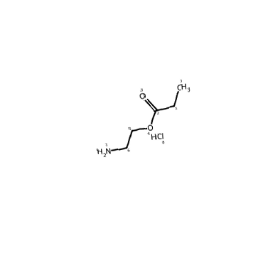 CCC(=O)OCCN.Cl